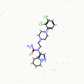 NC(=O)N(CCN1CCN(c2cccc(Cl)c2Cl)CC1)c1cnn2c1CCCC2